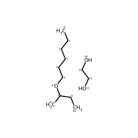 CCCCCCOC(C)CC.OCCO